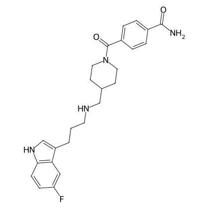 NC(=O)c1ccc(C(=O)N2CCC(CNCCCc3c[nH]c4ccc(F)cc34)CC2)cc1